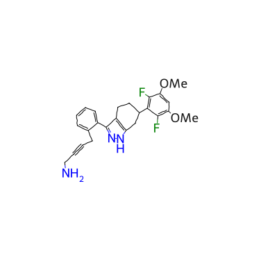 COc1cc(OC)c(F)c(C2CCc3c(-c4ccccc4CC#CCN)n[nH]c3C2)c1F